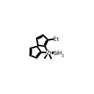 CCC1=[C]([Zr]([CH3])([CH3])(=[SiH2])[C]2=CC=CC2)CC=C1